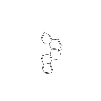 Cc1c(-c2c3ccccc3cc[n+]2C)ccc2ccccc12